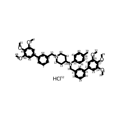 COc1cc(-c2cccc(CN3CCC(N(Cc4cccc(-c5cc(OC)c(OC)c(OC)c5)c4)c4ccc(C)cc4)CC3)c2)cc(OC)c1OC.Cl